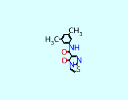 Cc1cc(C)cc(NC(=O)c2cnc3sccn3c2=O)c1